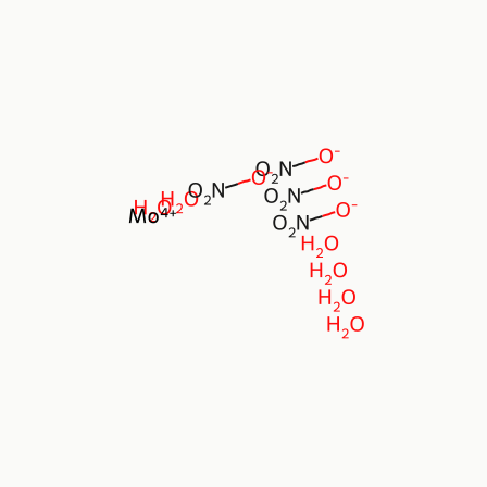 O.O.O.O.O.O.O=[N+]([O-])[O-].O=[N+]([O-])[O-].O=[N+]([O-])[O-].O=[N+]([O-])[O-].[Mo+4]